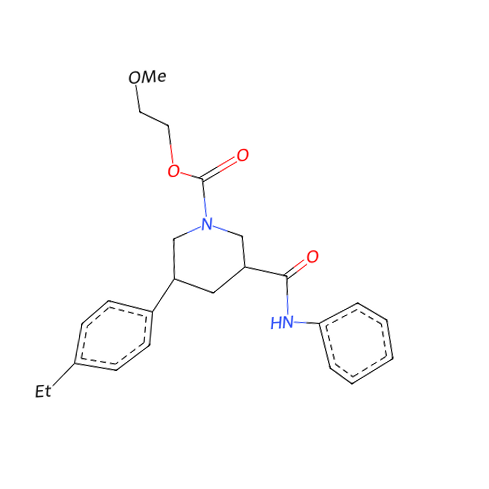 CCc1ccc(C2CC(C(=O)Nc3ccccc3)CN(C(=O)OCCOC)C2)cc1